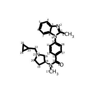 Cc1nc2ccccc2n1-c1ccc(C(=O)N(C)[C@H]2CCN(CC3CC3)C2)cc1